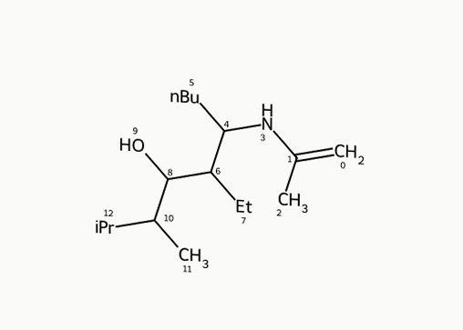 C=C(C)NC(CCCC)C(CC)C(O)C(C)C(C)C